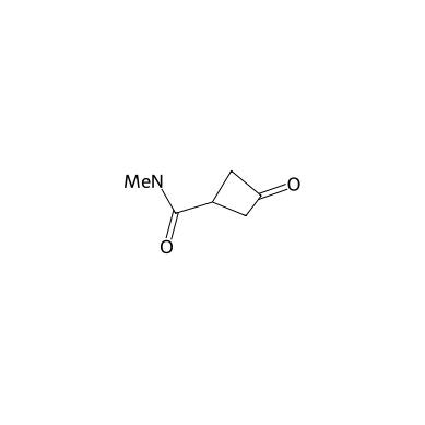 CNC(=O)C1CC(=O)C1